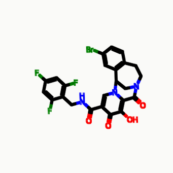 O=C(NCc1c(F)cc(F)cc1F)c1cn2c(c(O)c1=O)C(=O)N1CCc3ccc(Br)cc3C2C1